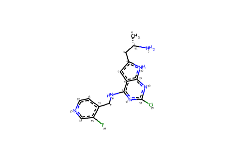 C[C@H](N)Cc1cc2c(NCc3ccncc3F)nc(Cl)nc2[nH]1